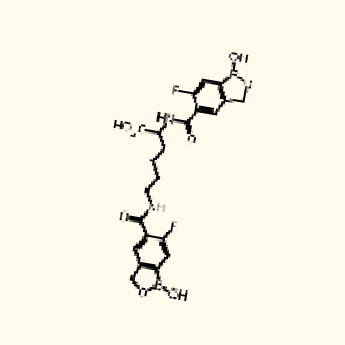 O=C(NCCCCC(NC(=O)c1cc2c(cc1F)B(O)OC2)C(=O)O)c1cc2c(cc1F)B(O)OC2